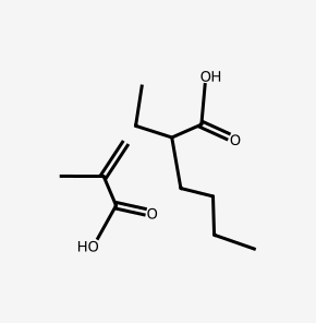 C=C(C)C(=O)O.CCCCC(CC)C(=O)O